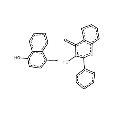 O=c1c(O)c(-c2ccccc2)oc2ccccc12.Oc1ccc(I)c2ccccc12